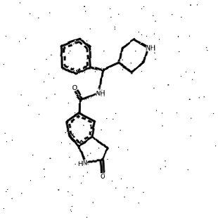 O=C1Cc2cc(C(=O)NC(c3ccccc3)C3CCNCC3)ccc2N1